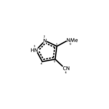 CNc1n[nH]cc1C#N